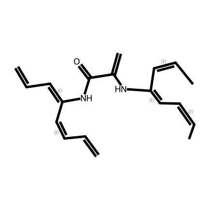 C=C/C=C\C(=C/C=C)NC(=O)C(=C)NC(/C=C\C)=C/C=C\C